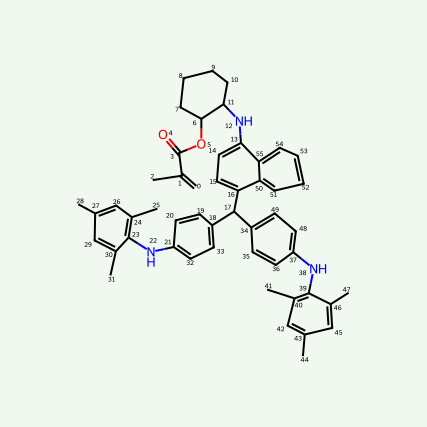 C=C(C)C(=O)OC1CCCCC1Nc1ccc(C(c2ccc(Nc3c(C)cc(C)cc3C)cc2)c2ccc(Nc3c(C)cc(C)cc3C)cc2)c2ccccc12